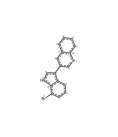 Brc1cccc2c(-c3cnc4ccccc4c3)c[nH]c12